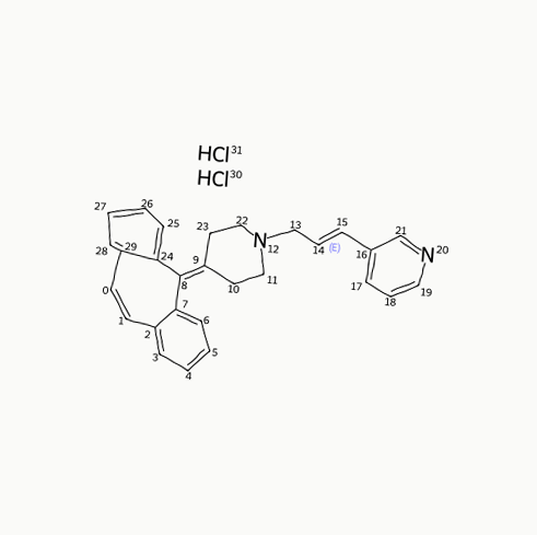 C1=Cc2ccccc2C(=C2CCN(C/C=C/c3cccnc3)CC2)c2ccccc21.Cl.Cl